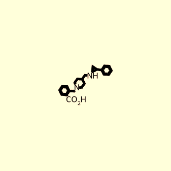 O=C(O)c1ccccc1CN1CCC(CNC2CC2c2ccccc2)CC1